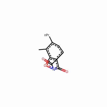 CCCc1cc2c3c(=O)n(oc3c1C)C2=O